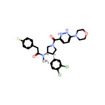 CN(C(=O)Cc1ccc(F)cc1)[C@H]1CN(C(=O)C2=CC=C(N3CCOCC3)NN2)C[C@@H]1c1ccc(Cl)c(Cl)c1